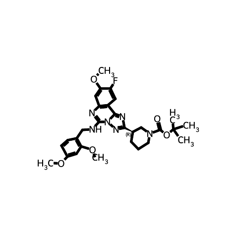 COc1ccc(CNc2nc3cc(OC)c(F)cc3c3nc([C@@H]4CCCN(C(=O)OC(C)(C)C)C4)nn23)c(OC)c1